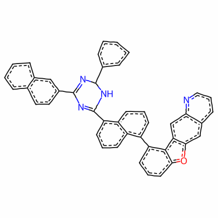 c1ccc(C2N=C(c3ccc4ccccc4c3)N=C(c3cccc4c(-c5cccc6oc7cc8cccnc8cc7c56)cccc34)N2)cc1